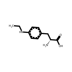 CCNc1ccc(C[C@@H](N)C(=O)O)cc1